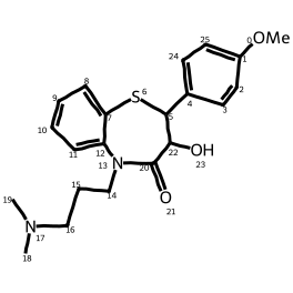 COc1ccc(C2Sc3ccccc3N(CCCN(C)C)C(=O)C2O)cc1